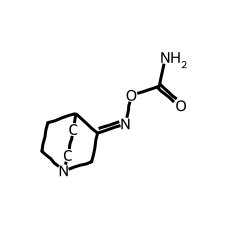 NC(=O)ON=C1CN2CCC1CC2